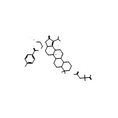 CNCC(OC(=O)c1ccc(Cl)cc1)[C@@]12CC[C@]3(C)[C@H](CCC4[C@@]5(C)CC[C@H](OC(=O)CC(C)(C)C(=O)O)C(C)(C)C5CC[C@]43C)C1=C(C(C)C)C(=O)C2